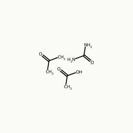 CC(=O)O.CC(C)=O.NC(N)=O